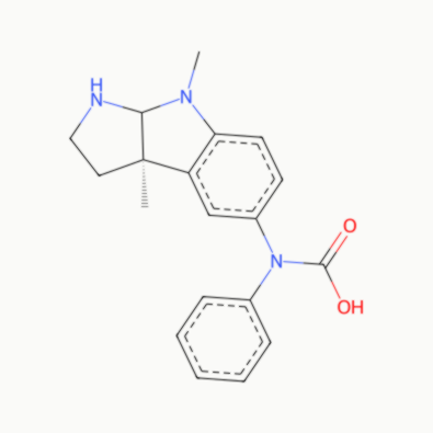 CN1c2ccc(N(C(=O)O)c3ccccc3)cc2[C@@]2(C)CCNC12